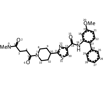 CNC(=O)CCC(=O)N1CCC(c2nc(C(=O)Nc3cc(OC)ccc3-c3ccccc3)cs2)CC1